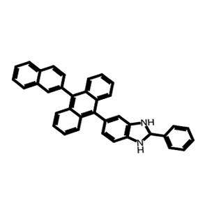 c1ccc(C2Nc3ccc(-c4c5ccccc5c(-c5ccc6ccccc6c5)c5ccccc45)cc3N2)cc1